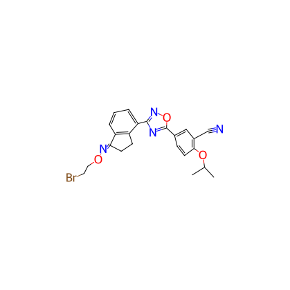 CC(C)Oc1ccc(-c2nc(-c3cccc4c3CCC4=NOCCBr)no2)cc1C#N